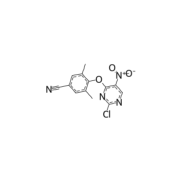 Cc1cc(C#N)cc(C)c1Oc1nc(Cl)ncc1[N+](=O)[O-]